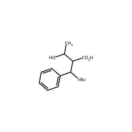 CCCCC(c1ccccc1)C(C(=O)O)C(C)O